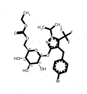 CCOC(=O)OC[C@H]1O[C@@H](Oc2nn(C(C)C)c(C(F)(F)F)c2Cc2ccc(Br)cc2)[C@H](O)[C@@H](O)[C@@H]1O